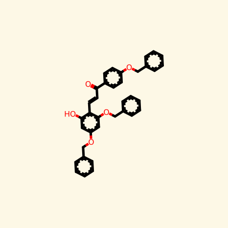 O=C(C=Cc1c(O)cc(OCc2ccccc2)cc1OCc1ccccc1)c1ccc(OCc2ccccc2)cc1